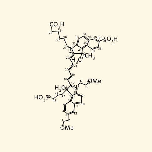 COCCc1ccc2c3c(ccc2c1)[N+](CCOC)=C(/C=C/C=C/C=C1/N(CCCCCC(=O)O)c2ccc4cc(S(=O)(=O)O)ccc4c2C1(C)C)C3(C)CCCS(=O)(=O)O